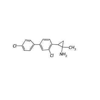 CC1(N)CC1c1ccc(-c2ccc(Cl)cc2)cc1Cl